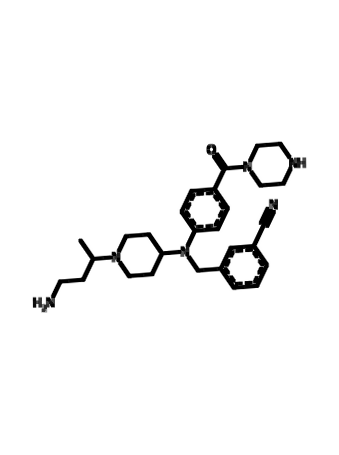 CC(CCN)N1CCC(N(Cc2cccc(C#N)c2)c2ccc(C(=O)N3CCNCC3)cc2)CC1